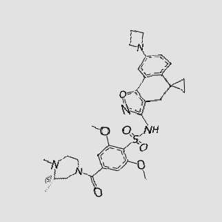 COc1cc(C(=O)N2CCN(C)[C@@H](C)C2)cc(OC)c1S(=O)(=O)Nc1noc2c1CC1(CC1)c1ccc(N3CCC3)cc1-2